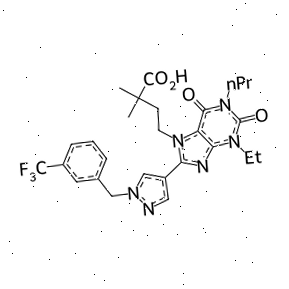 CCCn1c(=O)c2c(nc(-c3cnn(Cc4cccc(C(F)(F)F)c4)c3)n2CCC(C)(C)C(=O)O)n(CC)c1=O